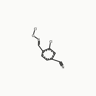 N#Cc1ccc(/C=N/OCl)c(Cl)c1